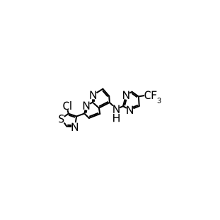 FC(F)(F)c1cnc(Nc2ccnc3nc(-c4ncsc4Cl)ccc23)nc1